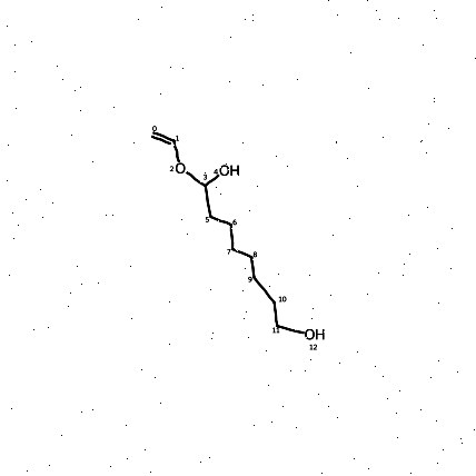 C=COC(O)CCCCCCCO